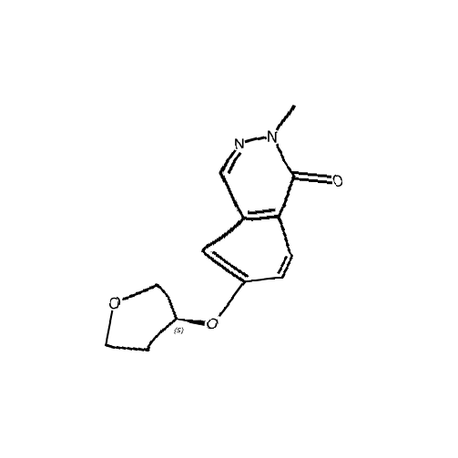 Cn1ncc2cc(O[C@H]3CCOC3)ccc2c1=O